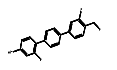 CCCc1ccc(-c2ccc(-c3ccc(CF)c(F)c3)cc2)c(F)c1